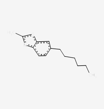 CCCCCCc1ccc2nc(C)sc2c1